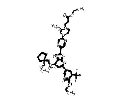 CCOC(=O)CCN1CCN(c2cnc(-c3nc4nc(-c5cnc(OCC)c(C(F)(F)F)c5)cc(N(C)CC5(COC)CCCC5)c4[nH]3)cn2)C[C@H]1C